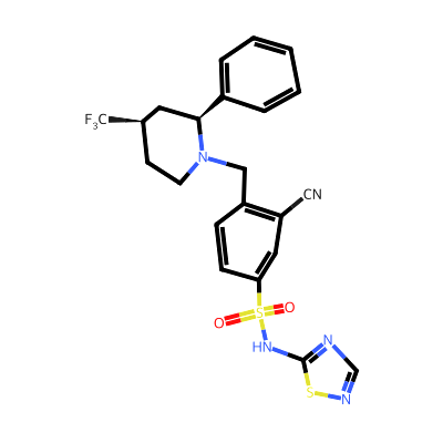 N#Cc1cc(S(=O)(=O)Nc2ncns2)ccc1CN1CC[C@@H](C(F)(F)F)C[C@H]1c1ccccc1